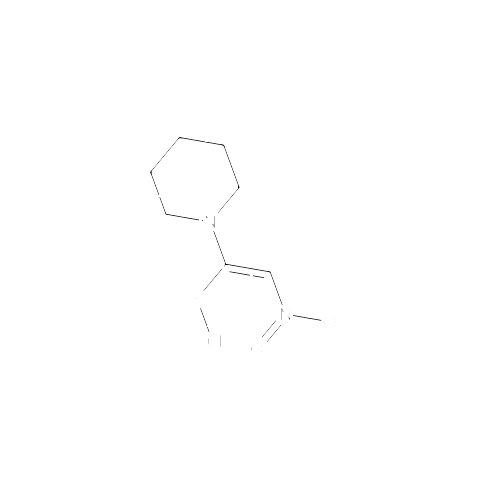 CS/C(=C\[N+](=O)[O-])N1CCCCC1